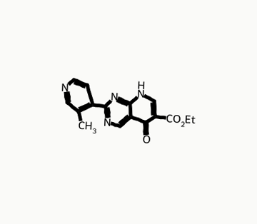 CCOC(=O)c1c[nH]c2nc(-c3ccncc3C)ncc2c1=O